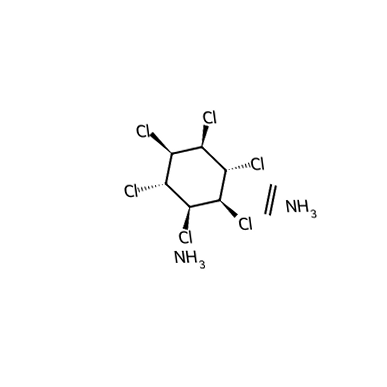 C=C.Cl[C@H]1[C@H](Cl)[C@@H](Cl)[C@@H](Cl)[C@H](Cl)[C@H]1Cl.N.N